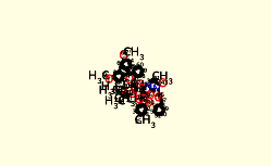 COc1ccc(C(OC[C@@](CO)(CO[Si](C(C)C)(C(C)C)C(C)C)OC(COS(=O)(=O)c2ccc(C)cc2)n2cc(C)c(=O)n(COCc3ccccc3)c2=O)(c2ccccc2)c2ccc(OC)cc2)cc1